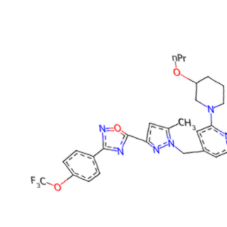 CCCOC1CCCN(c2cc(Cn3nc(-c4nc(-c5ccc(OC(F)(F)F)cc5)no4)cc3C)ccn2)C1